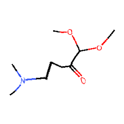 COC(OC)C(=O)CCN(C)C